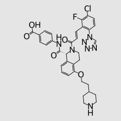 O=C(O)c1ccc(NC(=O)[C@H]2c3cccc(OCCC4CCNCC4)c3CCN2C(=O)/C=C/c2c(-n3cnnn3)ccc(Cl)c2F)cc1